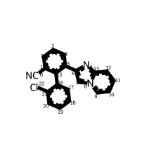 N#Cc1cccc(-c2cn3ccccc3n2)c1-c1ccccc1Cl